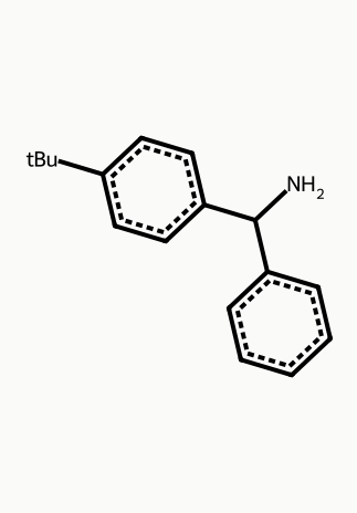 CC(C)(C)c1ccc(C(N)c2ccccc2)cc1